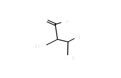 C[C](C(=O)O)C(C)O